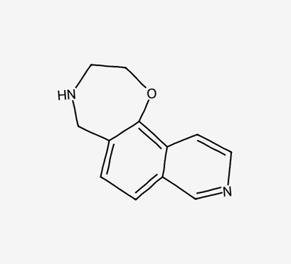 c1cc2c3c(ccc2cn1)CNCCO3